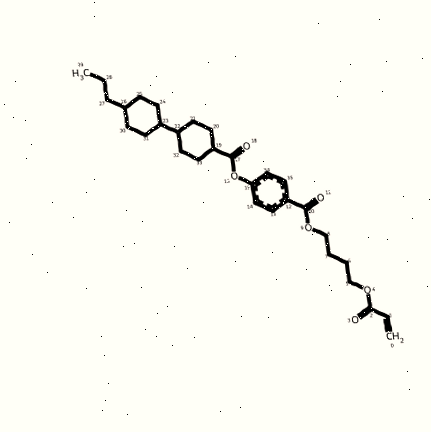 C=CC(=O)OCCCCOC(=O)c1ccc(OC(=O)C2CCC(C3CCC(CCC)CC3)CC2)cc1